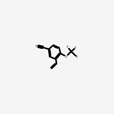 C=[C]c1cc(C#N)ccc1OC(F)(F)F